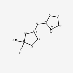 FC1(F)CCN(CC2CCCN2)C1